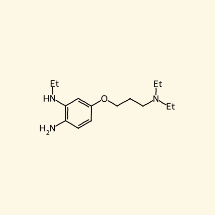 CCNc1cc(OCCCN(CC)CC)ccc1N